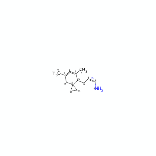 CC1=C=C(C)C(C/C=C\N)C2(CC2)C1